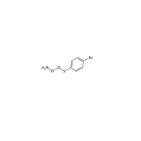 CC(=O)c1ccc(SOON)cc1